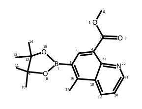 COC(=O)c1cc(B2OC(C)(C)C(C)(C)O2)c(C)c2cccnc12